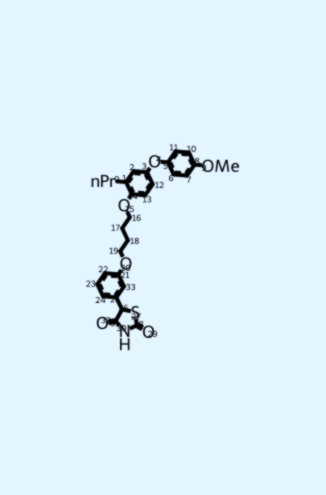 CCCc1cc(Oc2ccc(OC)cc2)ccc1OCCCCOc1cccc(C2SC(=O)NC2=O)c1